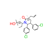 C=CC[C@@]1(C)CC(c2cccc(Cl)c2)C(c2ccc(Cl)cc2)N(C(CC)[C@@H](C)C(C)(C)O)C1=O